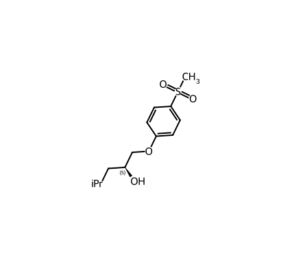 CC(C)C[C@H](O)COc1ccc(S(C)(=O)=O)cc1